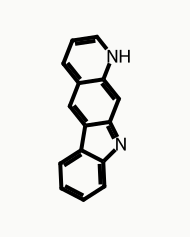 c1c[nH]c2cc3nc4ccccc4c3cc2c1